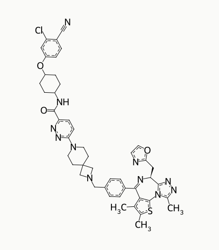 Cc1sc2c(c1C)C(c1ccc(CN3CC4(CCN(c5ccc(C(=O)NC6CCC(Oc7ccc(C#N)c(Cl)c7)CC6)nn5)CC4)C3)cc1)=N[C@@H](Cc1ncco1)c1nnc(C)n1-2